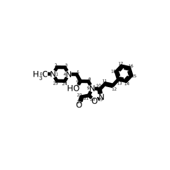 CN1CCN(CC(O)CN2C(C=Cc3ccccc3)=NOC2C=O)CC1